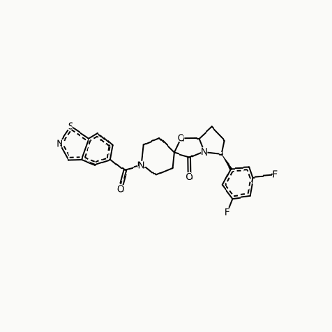 O=C(c1ccc2sncc2c1)N1CCC2(CC1)OC1CC[C@@H](c3cc(F)cc(F)c3)N1C2=O